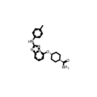 Cc1ccc(Nc2nc3cccc(O[C@H]4CC[C@H](C(N)=O)CC4)n3n2)cc1